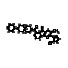 CN(Cc1nc2cccc(C(=O)N3CCC4(CC3)CCN(c3ccncc3)CC4)c2[nH]1)C(=O)c1sccc1Cl